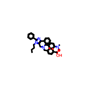 CCCCn1c(-c2ccccc2)nc(-c2ccccc2)c1CN(Cc1ccc(C(=O)O)cc1)Cc1ccc(N(C)C)cc1